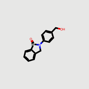 O=[Se]1c2ccccc2CN1c1ccc(CO)cc1